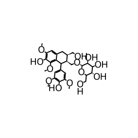 COc1cc(C2c3c(cc(OC)c(O)c3OC)C[C@@H](CO)[C@H]2CO[C@@H]2OC(CO)[C@@H](O)C(O)[C@@H]2O)cc(OC)c1O